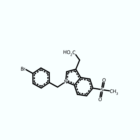 CS(=O)(=O)c1ccc2c(c1)c(CC(=O)O)cn2Cc1ccc(Br)cc1